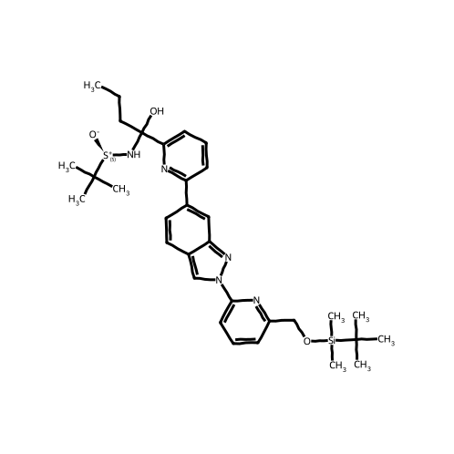 CCCC(O)(N[S@+]([O-])C(C)(C)C)c1cccc(-c2ccc3cn(-c4cccc(CO[Si](C)(C)C(C)(C)C)n4)nc3c2)n1